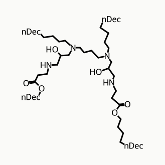 CCCCCCCCCCCCCCOC(=O)CCNCC(O)CN(CCCCCCCCCCCCCC)CCCCN(CCCCCCCCCCCCCC)CC(O)CNCCC(=O)OCCCCCCCCCC